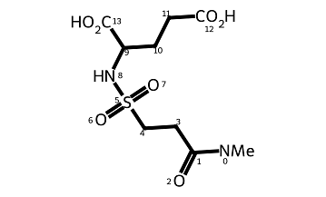 CNC(=O)CCS(=O)(=O)NC(CCC(=O)O)C(=O)O